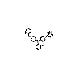 c1ccc(CN2CCC(N3c4ccccc4Oc4cc(-c5nnn[nH]5)ccc43)CC2)nc1